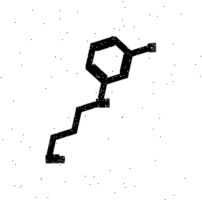 CSCCCNc1cccc(Cl)c1